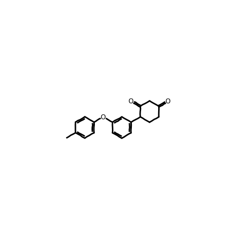 Cc1ccc(Oc2cccc(C3CCC(=O)CC3=O)c2)cc1